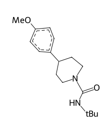 COc1ccc(C2CCN(C(=O)NC(C)(C)C)CC2)cc1